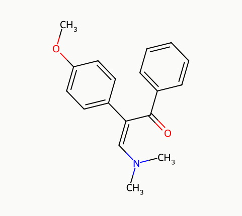 COc1ccc(C(=CN(C)C)C(=O)c2ccccc2)cc1